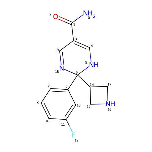 NC(=O)C1=CNC(c2cccc(F)c2)(C2CNC2)N=C1